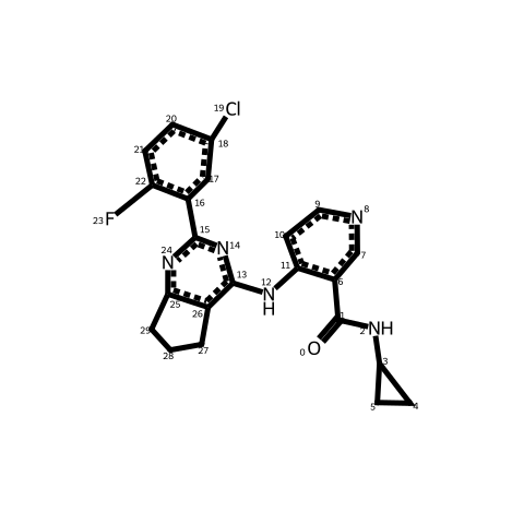 O=C(NC1CC1)c1cnccc1Nc1nc(-c2cc(Cl)ccc2F)nc2c1CCC2